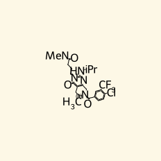 CNC(=O)CCCn1c(NC(C)C)nc2c(c1=O)C[C@@H](C)N(C(=O)c1ccc(Cl)c(C(F)(F)F)c1)C2